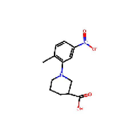 Cc1ccc([N+](=O)[O-])cc1N1CCCC(C(=O)O)C1